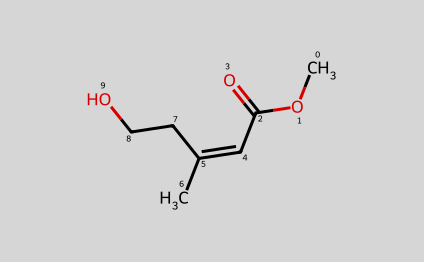 COC(=O)C=C(C)CCO